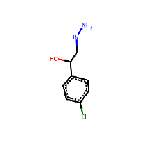 NNCC(O)c1ccc(Cl)cc1